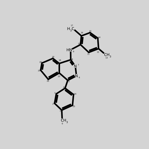 Cc1ccc(-c2nnc(Nc3cc(C)ccc3C)c3ccccc23)cc1